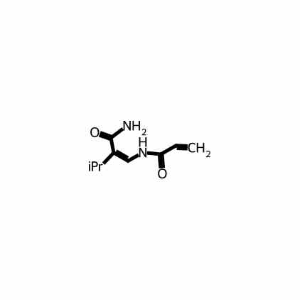 C=CC(=O)NC=C(C(N)=O)C(C)C